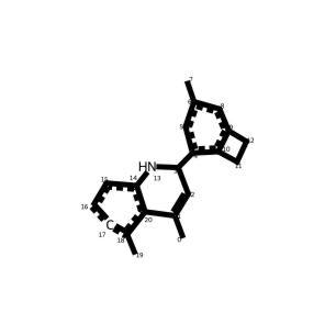 CC1=CC(c2cc(C)cc3c2CC3)Nc2cccc(C)c21